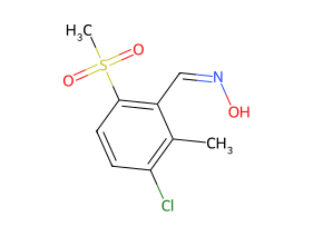 Cc1c(Cl)ccc(S(C)(=O)=O)c1/C=N\O